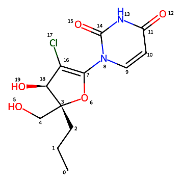 CCC[C@]1(CO)OC(n2ccc(=O)[nH]c2=O)=C(Cl)[C@@H]1O